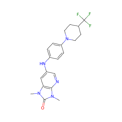 Cn1c(=O)n(C)c2ncc(Nc3ccc(N4CCC(C(F)(F)F)CC4)cc3)cc21